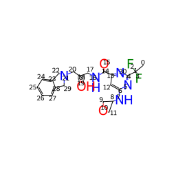 CC(F)(F)c1nc(NC2COC2)cc(C(=O)NC[C@H](O)CN2Cc3ccccc3C2)n1